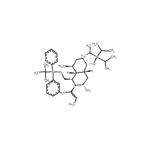 C/C=C(\C)[C@H]1[C@@H](CO[Si](c2ccccc2)(c2ccccc2)C(C)(C)C)[C@H]2[C@@H](C[C@@H]1C)[C@@H](O[Si](C(C)C)(C(C)C)C(C)C)CC[C@@H]2C